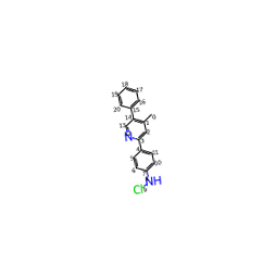 Cc1cc(-c2ccc(NCl)cc2)ncc1-c1ccccc1